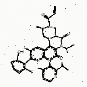 C=CC(=O)N1CC2C(=O)N(C(C)C)c3c(c4cc(F)c(-c5c(O)cccc5F)nc4n(-c4c(C)ccnc4C(C)C)c3=O)N2CC1C